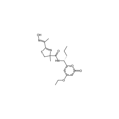 CCC[C@@H](NC(=O)C1(C)CSC(/C(C)=N/O)=N1)c1cc(OCC)cc(=O)o1